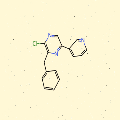 Clc1ncc(-c2cccnc2)nc1Cc1ccccc1